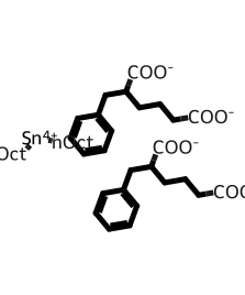 CCCCCCC[CH2][Sn+4][CH2]CCCCCCC.O=C([O-])CCCC(Cc1ccccc1)C(=O)[O-].O=C([O-])CCCC(Cc1ccccc1)C(=O)[O-]